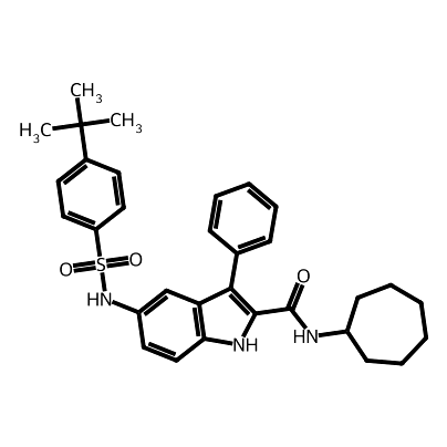 CC(C)(C)c1ccc(S(=O)(=O)Nc2ccc3[nH]c(C(=O)NC4CCCCCC4)c(-c4ccccc4)c3c2)cc1